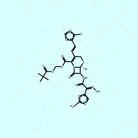 CC(C)(C)C(=O)OCOC(=O)C1=C(C=Cc2scnc2Cl)CS[C@H]2C(NC(=O)C(=NO)c3csc(N)n3)C(=O)N12